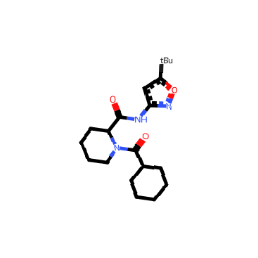 CC(C)(C)c1cc(NC(=O)C2CCCCN2C(=O)C2CCCCC2)no1